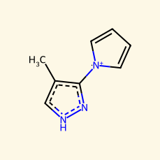 Cc1c[nH]nc1[N+]1C=CC=C1